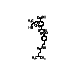 CC(C)CCC(=O)NCCc1ccc(S(=O)(=O)NC(=O)C2=CC=C(C(=O)O)N(CC(C)(C)CO)C2)cc1